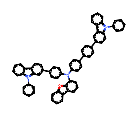 c1ccc(-n2c3ccccc3c3cc(-c4ccc(-c5ccc(N(c6ccc(-c7ccc8c9ccccc9n(-c9ccccc9)c8c7)cc6)c6cccc7c6oc6ccccc67)cc5)cc4)ccc32)cc1